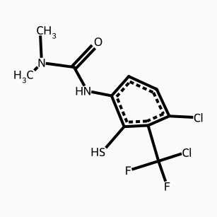 CN(C)C(=O)Nc1ccc(Cl)c(C(F)(F)Cl)c1S